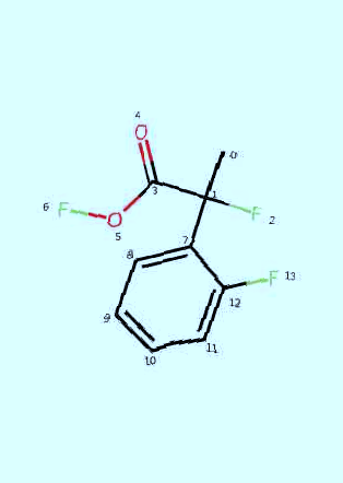 CC(F)(C(=O)OF)c1ccccc1F